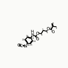 C=C(C)C(=O)OCCCOC(=O)Nc1ccc(N=C=O)cc1